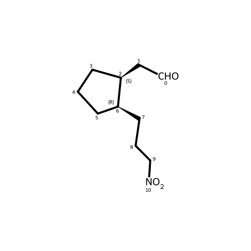 O=CC[C@@H]1CCC[C@@H]1CCC[N+](=O)[O-]